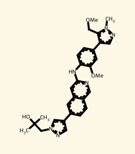 COCc1c(-c2ccc(Nc3cc4cc(-c5cnn(CC(C)(C)O)c5)ccc4cn3)c(OC)c2)cnn1C